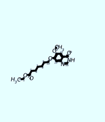 CCOC(=O)CCCCCCOc1cc2nc[nH]c(=O)c2cc1OC